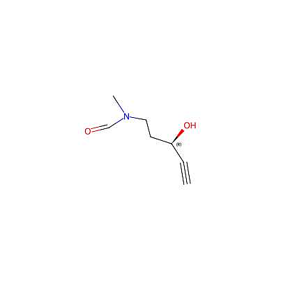 C#C[C@H](O)CCN(C)C=O